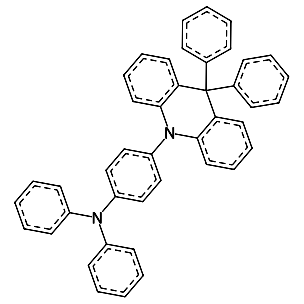 c1ccc(N(c2ccccc2)c2ccc(N3c4ccccc4C(c4ccccc4)(c4ccccc4)c4ccccc43)cc2)cc1